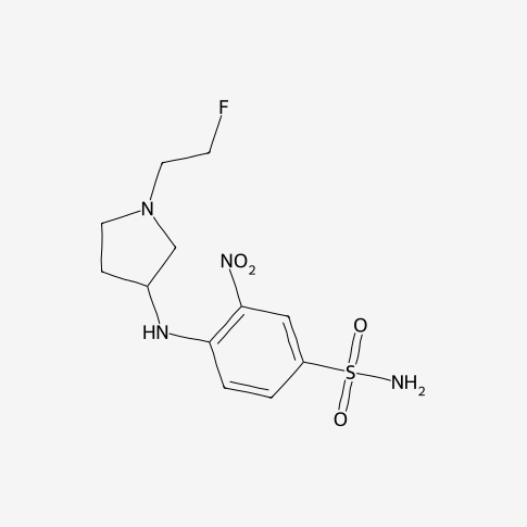 NS(=O)(=O)c1ccc(NC2CCN(CCF)C2)c([N+](=O)[O-])c1